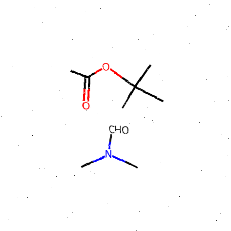 CC(=O)OC(C)(C)C.CN(C)C=O